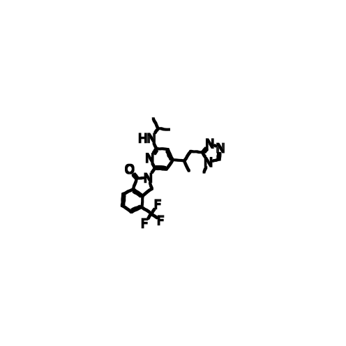 CC(C)Nc1cc(C(C)Cc2nncn2C)cc(N2Cc3c(cccc3C(F)(F)F)C2=O)n1